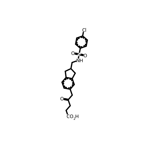 O=C(O)CCC(=O)Cc1ccc2c(c1)CC(CNS(=O)(=O)c1ccc(Cl)cc1)C2